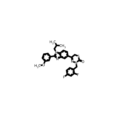 COc1cccc(-c2nc3cc(C4=NN(Cc5ccc(F)cc5F)C(=O)SC4)ccc3n2CC(C)C)c1